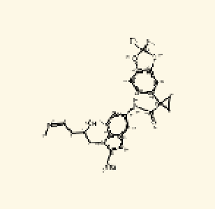 C/N=C\CC(O)Cn1c(C(C)(C)C)cc2cc(NC(=O)C3(c4ccc5c(c4)OC(F)(F)O5)CC3)ccc21